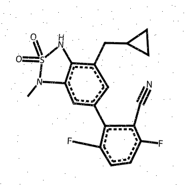 CN1c2cc(-c3c(F)ccc(F)c3C#N)cc(CC3CC3)c2NS1(=O)=O